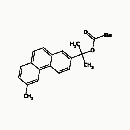 CCC(C)C(=O)OC(C)(C)c1ccc2c(ccc3ccc(C)cc32)c1